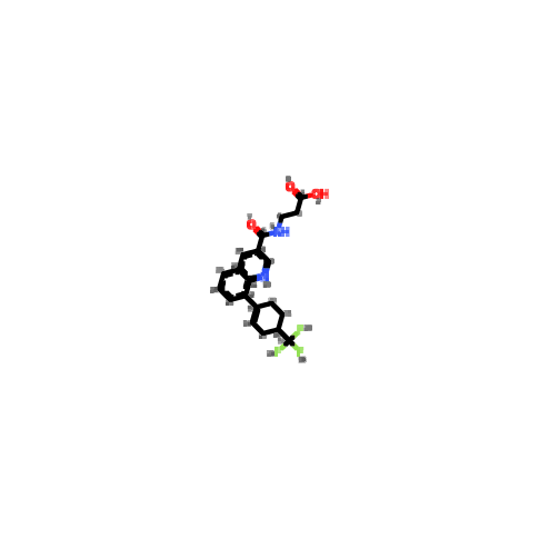 O=C(O)CCNC(=O)c1cnc2c(C3=CCC(C(F)(F)F)CC3)cccc2c1